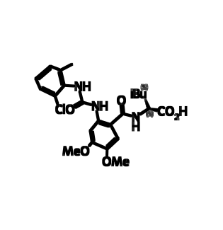 CC[C@H](C)[C@H](NC(=O)c1cc(OC)c(OC)cc1NC(=O)Nc1c(C)cccc1Cl)C(=O)O